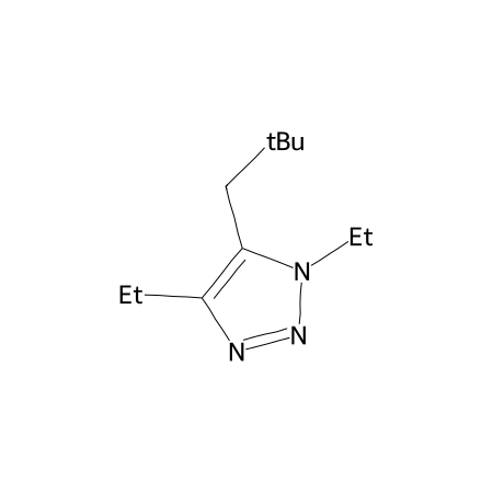 CCc1nnn(CC)c1CC(C)(C)C